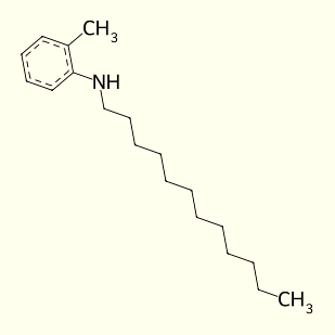 CCCCCCCCCCCCNc1ccccc1C